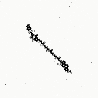 Cc1ccc2c(c1)CCC1C2CC[C@]2(C)C(COCC(=O)NCCCOCCC(=O)NCCCCCNC(=O)CCCCc3ccc4c(c3)C(=O)NC(CCC(=O)Nc3ccc5ccoc5c3)C(=O)N4)C=CC12